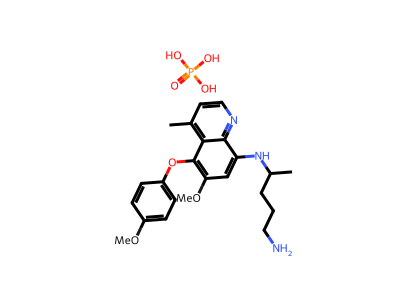 COc1ccc(Oc2c(OC)cc(NC(C)CCCN)c3nccc(C)c23)cc1.O=P(O)(O)O